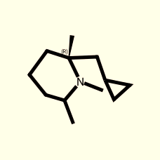 CC1CCC[C@](C)(CC2CC2)N1C